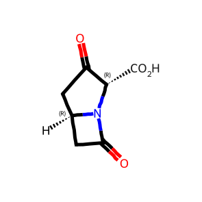 O=C(O)[C@H]1C(=O)C[C@@H]2CC(=O)N21